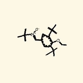 CCOc1c(C(C)(C)C)cc(C=[N+]([O-])C(C)(C)C)cc1C(C)(C)C